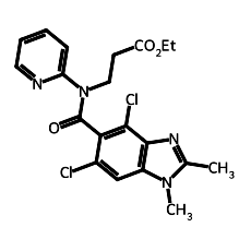 CCOC(=O)CCN(C(=O)c1c(Cl)cc2c(nc(C)n2C)c1Cl)c1ccccn1